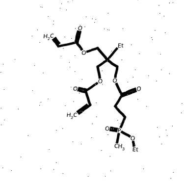 C=CC(=O)OCC(CC)(COC(=O)C=C)COC(=O)CCP(C)(=O)OCC